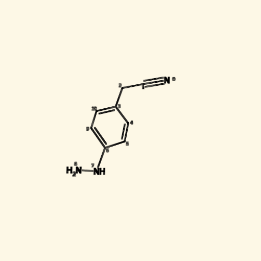 N#CCc1ccc(NN)cc1